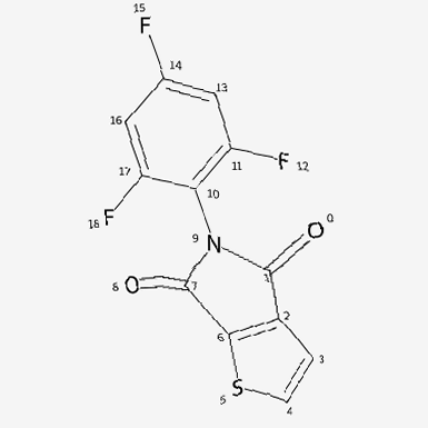 O=C1c2ccsc2C(=O)N1c1c(F)cc(F)cc1F